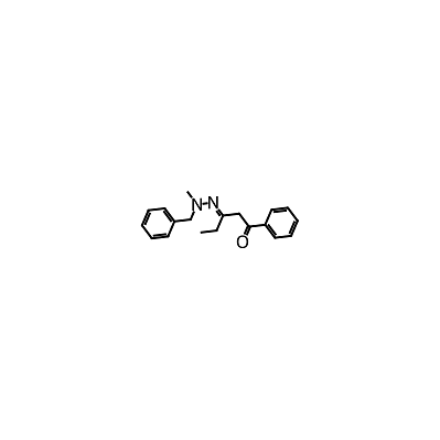 CC/C(CC(=O)c1ccccc1)=N\N(C)Cc1ccccc1